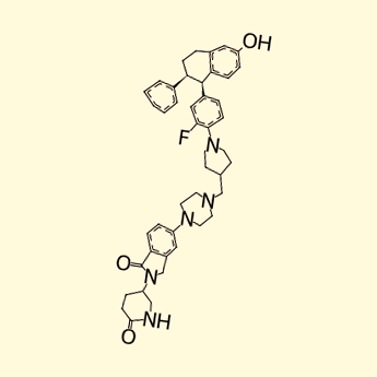 O=C1CCC(N2Cc3cc(N4CCN(CC5CCN(c6ccc([C@@H]7c8ccc(O)cc8CC[C@@H]7c7ccccc7)cc6F)CC5)CC4)ccc3C2=O)CN1